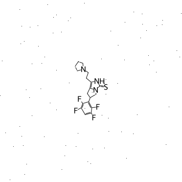 Fc1cc(F)c(F)c(C2Cc3c(CCN4CCCC4)[nH]c(=S)n3C2)c1F